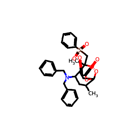 CC1CC(N(Cc2ccccc2)Cc2ccccc2)C23CC1(OOC2(C)CS(=O)(=O)c1ccccc1)OC(=O)C3=O